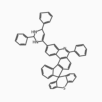 C1=C(c2ccc3c(c2)nc(-c2ccccc2)c2ccc4c(c23)-c2ccccc2C42c3ccccc3Sc3ccccc32)NC(c2ccccc2)NC1c1ccccc1